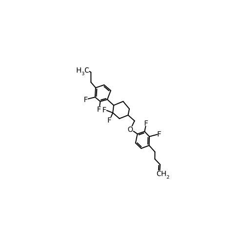 C=CCCc1ccc(OCC2CCC(c3ccc(CCC)c(F)c3F)C(F)(F)C2)c(F)c1F